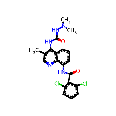 Cc1cnc2c(NC(=O)c3c(Cl)cccc3Cl)cccc2c1NC(=O)NN(C)C